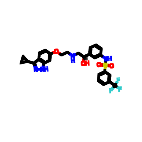 O=S(=O)(Nc1cccc([C@@H](O)CNCCOc2ccc3c(C4CC4)n[nH]c3c2)c1)c1cccc(C(F)(F)F)c1